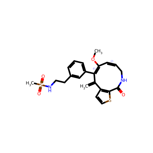 C=C1/C(c2cccc(CCNS(C)(=O)=O)c2)=C(OC)\C=C/CNC(=O)c2sccc21